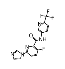 O=C(Nc1ccc(C(F)(F)F)nc1)c1nc(-n2ccnc2)ccc1F